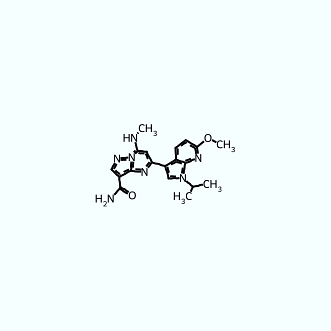 CNc1cc(-c2cn(C(C)C)c3nc(OC)ccc23)nc2c(C(N)=O)cnn12